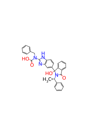 C[C@H](c1ccccc1)N1C(=O)c2ccccc2C1(O)c1ccc2[nH]c(N(Cc3ccccc3)C(=O)O)nc2c1